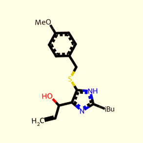 C=CC(O)c1nc(C(C)CC)[nH]c1SCc1ccc(OC)cc1